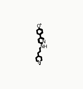 COC1=CC=C(c2ccc(NCCCC3CCN(C)CC3)nc2)CC1